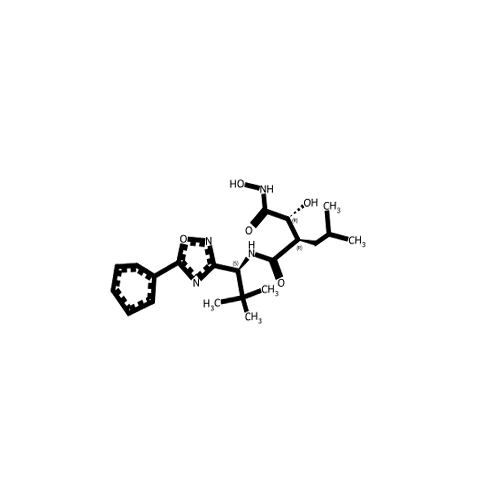 CC(C)C[C@@H](C(=O)N[C@H](c1noc(-c2ccccc2)n1)C(C)(C)C)[C@@H](O)C(=O)NO